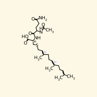 CC(=O)NC(CCC(N)=O)C(=O)N[C@@H](CSC/C=C(\C)CC/C=C(\C)CCC=C(C)C)C(=O)O